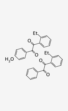 CCc1ccccc1C(=O)C(=O)c1ccccc1.CCc1ccccc1C(=O)C(=O)c1ccccc1.O